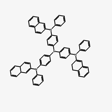 C1=CC2C=CC(N(c3ccccc3)c3ccc(N(c4ccc(N(C5=Cc6ccccc6CC5)c5ccccc5)cc4)c4ccc(N(c5ccccc5)c5ccc6ccccc6c5)cc4)cc3)=CC2C=C1